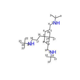 CC(C)NCCCC(CCCNC(C)(C)C)(CCCNC(C)(C)C)C(C)(C)C